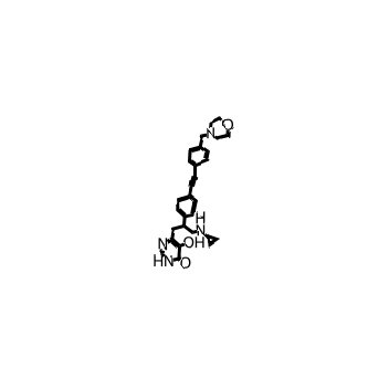 O=c1[nH]cnc(CC(CNC2CC2)c2ccc(C#Cc3ccc(CN4CCOCC4)cc3)cc2)c1O